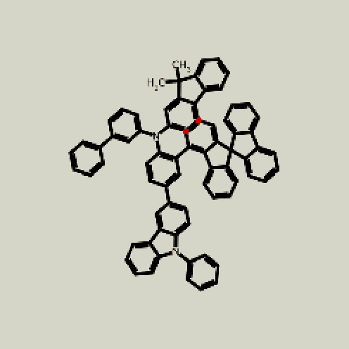 CC1(C)c2ccccc2-c2ccc(N(c3cccc(-c4ccccc4)c3)c3ccc(-c4ccc5c(c4)c4ccccc4n5-c4ccccc4)cc3-c3cccc4c3-c3ccccc3C43c4ccccc4-c4ccccc43)cc21